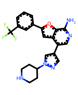 Nc1ncc(-c2cnn(C3CCNCC3)c2)c2cc(-c3cccc(C(F)(F)F)c3)oc12